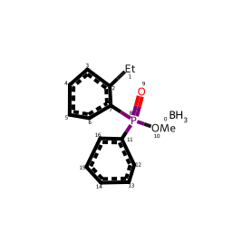 B.CCc1ccccc1P(=O)(OC)c1ccccc1